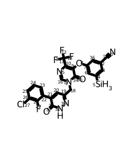 N#Cc1cc([SiH3])cc(Oc2c(C(F)(F)F)ncn(Cc3cc(-c4cccc(Cl)c4F)c(=O)[nH]n3)c2=O)c1